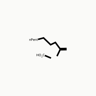 C=C(C)CCCCCCCC.CC(=O)O